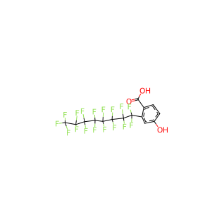 O=C(O)c1ccc(O)cc1C(F)(F)C(F)(F)C(F)(F)C(F)(F)C(F)(F)C(F)(F)C(F)(F)C(F)(F)F